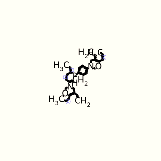 C=CC1=C(/C=C\C)OCN(C(=C)/C=C\C(=C/C)Pc2ccc(N3COC(/C=C\C)=C(C=C)C3)cc2)C1